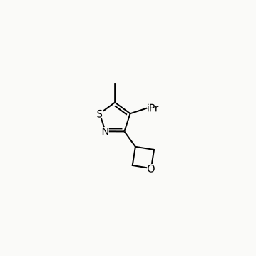 Cc1snc(C2COC2)c1C(C)C